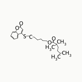 CC(C)CCC(C)(C)C(=O)OCCCCCCCSc1cc(=O)oc2ccccc12